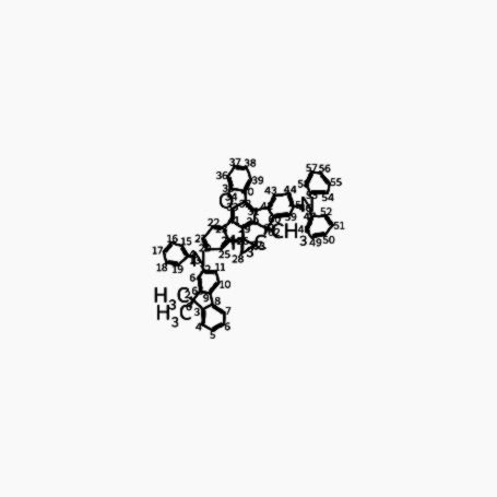 CC1(C)c2ccccc2-c2ccc(N(c3ccccc3)c3ccc4c(c3)C3(CC3)c3c5c(c6c(oc7ccccc76)c3-4)-c3ccc(N(c4ccccc4)c4ccccc4)cc3C5(C)C)cc21